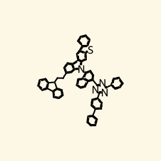 c1ccc(-c2ccc(-c3nc(-c4ccccc4)nc(-c4ccc(-n5c6cc(CCC7c8ccccc8-c8ccccc87)ccc6c6cc7c(cc65)sc5ccccc57)c5ccccc45)n3)cc2)cc1